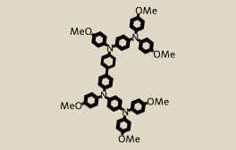 COc1ccc(N(C2=CC=C(c3ccc(N(c4ccc(OC)cc4)c4ccc(N(c5ccc(OC)cc5)c5ccc(OC)cc5)cc4)cc3)CC2)c2ccc(N(c3ccc(OC)cc3)c3ccc(OC)cc3)cc2)cc1